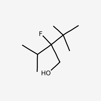 CC(C)C(F)(CO)C(C)(C)C